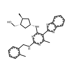 Cc1ccccc1CNc1nc(C)c(-c2nc3ccccc3s2)c(N[C@@H]2C[C@H](CO)[C@@H](C)C2)n1